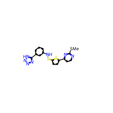 CSc1nccc(-c2ccc(SNc3cccc(-c4nnn[nH]4)c3)s2)n1